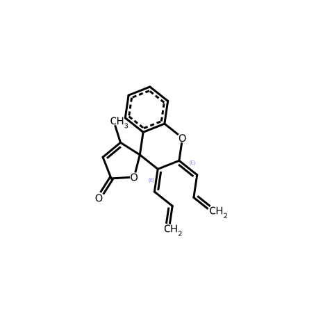 C=C/C=C1/Oc2ccccc2C2(OC(=O)C=C2C)/C1=C/C=C